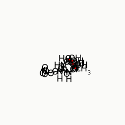 C[C@@H]1O[C@H]2OCCNC(=O)CN(CC(=O)NCCOCCOCCC(=O)ON3C(=O)CCC3=O)CC(=O)NCCO[C@@H]3O[C@@H](O[C@H]2[C@H](O)[C@@H]1O)[C@@H](O)[C@@H](O)[C@@H]3O